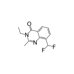 CCn1c(C)nc2c(C(F)F)cccc2c1=O